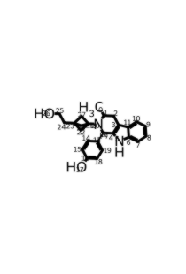 CC1Cc2c([nH]c3ccccc23)[C@@H](c2ccc(O)cc2)N1C12CC(CCO)(C1)C2